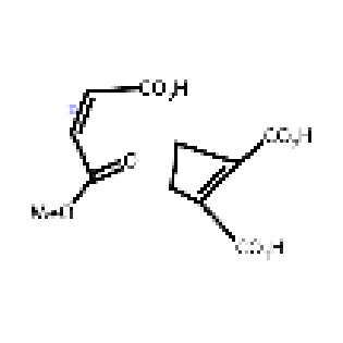 COC(=O)/C=C\C(=O)O.O=C(O)C1=C(C(=O)O)CC1